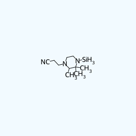 CC1N(CCC#N)CCN([SiH3])C1(C)C